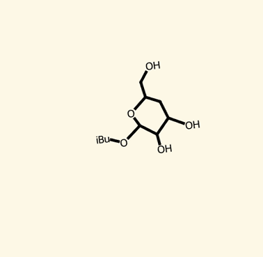 CCC(C)OC1OC(CO)CC(O)C1O